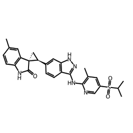 Cc1ccc2c(c1)[C@]1(C[C@H]1c1ccc3c(Nc4ncc(S(=O)(=O)C(C)C)cc4C)n[nH]c3c1)C(=O)N2